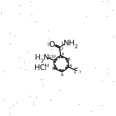 Cl.NC(=O)c1cc(F)ccc1N